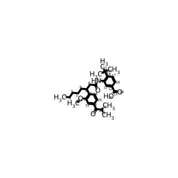 CCCCCC(CC(=O)Nc1cc(C(=O)O)ccc1C(C)(C)C)c1ccc(C(=O)C(C)C)cc1OC